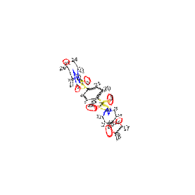 O=S(=O)(c1ccc(S(=O)(=O)N2CCC3(CC2)OCCO3)cc1)N1CCOCC1